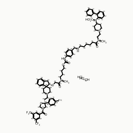 CN(CCN1CCC(N(C(=O)O)c2ccccc2-c2ccccc2)CC1)C(=O)CCCCCNCc1ccc(NC(=O)OCCCCN(C)C(=O)CO[C@H]2Cc3ccccc3C23CCN(CC[C@]2(c4ccc(F)cc4)CN(C(=O)c4cc(C(F)(F)F)cc(C(F)(F)F)c4)CO2)CC3)cc1.Cl.Cl.Cl